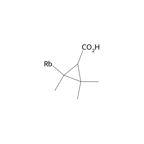 CC1(C)C(C(=O)O)[C]1(C)[Rb]